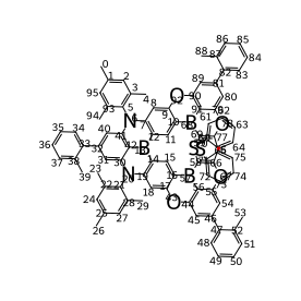 Cc1cc(C)c(N2c3cc4c(cc3B3c5cc6c(cc5N(c5c(C)cc(C)cc5C)c5cc(-c7ccccc7C)cc2c53)Oc2cc(-c3ccccc3C)cc3c2B6c2sc5ccccc5c2O3)B2c3sc5ccccc5c3Oc3cc(-c5ccccc5C)cc(c32)O4)c(C)c1